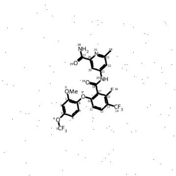 COc1cc(OC(F)(F)F)ccc1Oc1ccc(C(F)(F)F)c(F)c1C(=O)Nc1cc(C)nc(C(N)=O)c1